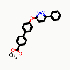 COC(=O)c1ccc(-c2ccc(Oc3ccc(-c4ccccc4)nn3)cc2)cc1